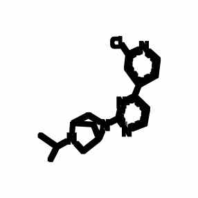 CC(C)N1CC2CC1CN2c1nccc(-c2ccnc(Cl)c2)n1